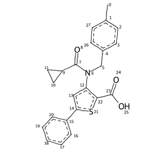 Cc1ccc(CN(C(=O)C2CC2)c2cc(-c3ccccc3)sc2C(=O)O)cc1